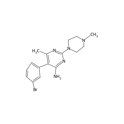 Cc1nc(N2CCN(C)CC2)nc(N)c1-c1cccc(Br)c1